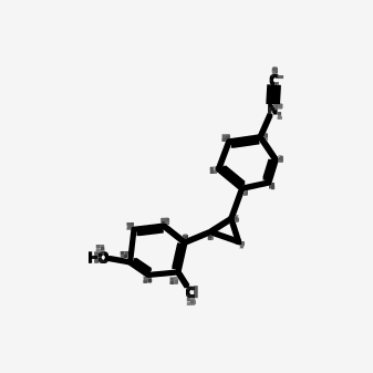 [C-]#[N+]c1ccc(C2CC2c2ccc(O)cc2Cl)cc1